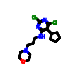 Clc1nc(Cl)c(C2CCCC2)c(NCCCN2CCOCC2)n1